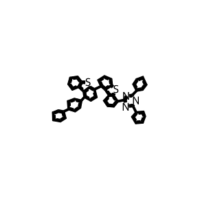 c1ccc(-c2ccc(-c3ccc(-c4cccc5sc6c(-c7nc(-c8ccccc8)nc(-c8ccccc8)n7)cccc6c45)c4sc5ccccc5c34)cc2)cc1